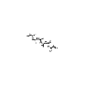 C=CC(C)OC(C)OC(C)OC(C)OC(C)OC(C)C=C